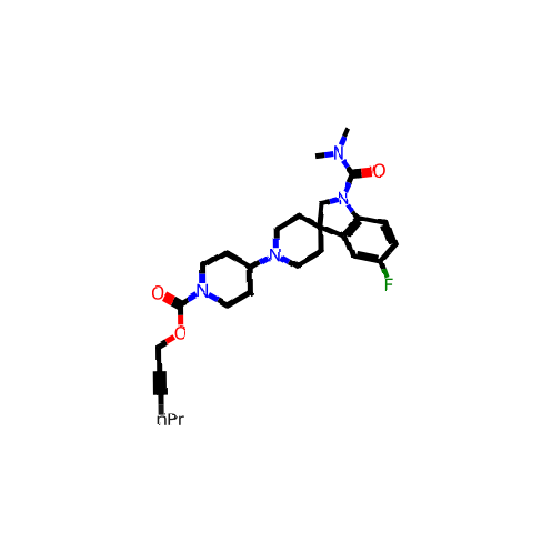 CCCC#CCOC(=O)N1CCC(N2CCC3(CC2)CN(C(=O)N(C)C)c2ccc(F)cc23)CC1